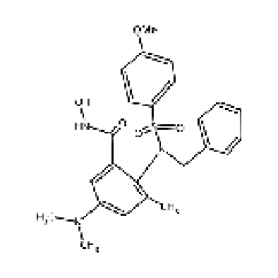 COc1ccc(S(=O)(=O)N(Cc2ccccc2)c2c(C)cc(N(C)C)cc2C(=O)NO)cc1